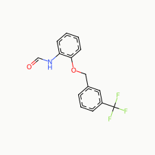 O=CNc1ccccc1OCc1cccc(C(F)(F)F)c1